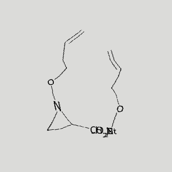 C=CCON.C=CCON1CC1C(=O)OCC